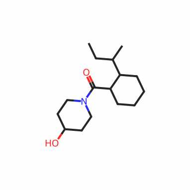 CCC(C)C1CCCCC1C(=O)N1CCC(O)CC1